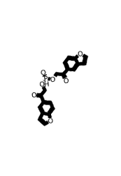 O=C(CO[PH](=O)OCC(=O)c1ccc2occc2c1)c1ccc2occc2c1